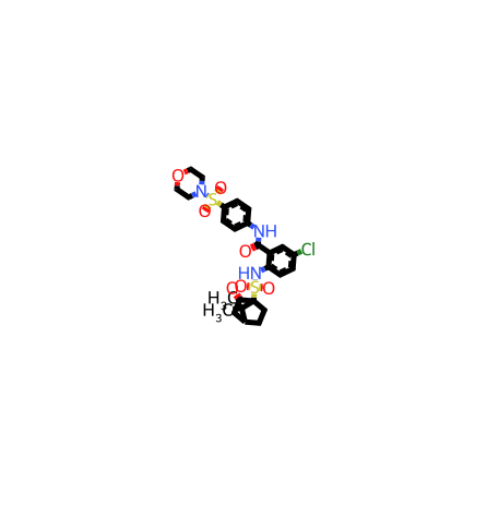 CC1(C)C2CCC1(S(=O)(=O)Nc1ccc(Cl)cc1C(=O)Nc1ccc(S(=O)(=O)N3CCOCC3)cc1)C(=O)C2